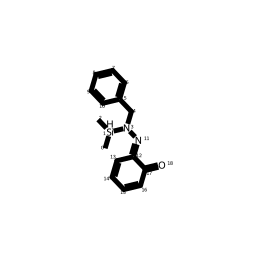 C[SiH](C)N(Cc1ccccc1)N=C1C=CC=CC1=O